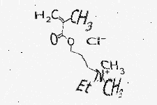 C=C(C)C(=O)OCCC[N+](C)(C)CC.[Cl-]